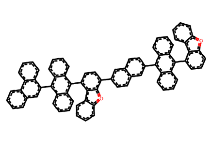 c1ccc2c(c1)cc(-c1c3ccccc3c(-c3ccc(-c4ccc5cc(-c6c7ccccc7c(-c7cccc8oc9ccccc9c78)c7ccccc67)ccc5c4)c4oc5ccccc5c34)c3ccccc13)c1ccccc12